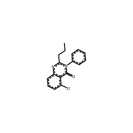 CCCc1nc2cccc(Cl)c2c(=O)n1-c1ccccc1